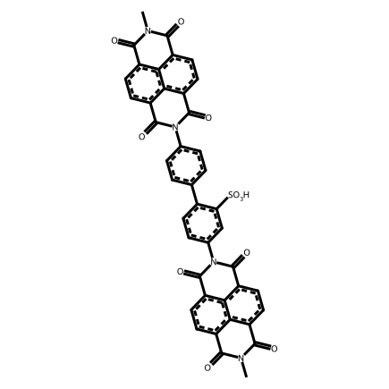 CN1C(=O)c2ccc3c4c(ccc(c24)C1=O)C(=O)N(c1ccc(-c2ccc(N4C(=O)c5ccc6c7c(ccc(c57)C4=O)C(=O)N(C)C6=O)cc2S(=O)(=O)O)cc1)C3=O